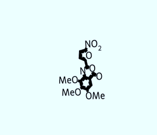 COc1cc2c(=O)oc(-c3ccc([N+](=O)[O-])o3)nc2c(OC)c1OC